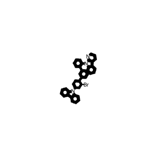 Br[C@H]1CC(n2c3ccccc3c3ccccc32)=CC=C1c1cccc(-c2ccccc2-n2c3ccccc3c3cccnc32)c1